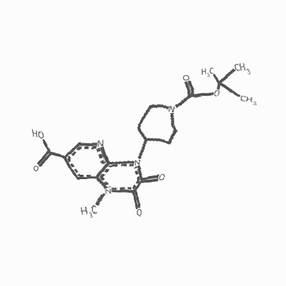 Cn1c(=O)c(=O)n(C2CCN(C(=O)OC(C)(C)C)CC2)c2ncc(C(=O)O)cc21